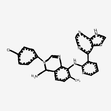 Cc1ccc2c(c1Nc1ncccc1-c1ncnc3[nH]cnc13)N=CN(c1ccc(Cl)cc1)C2N